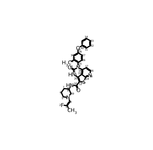 CC(F)=CN1CCC[C@@H](NC(=O)c2sc3nccc4c3c2NC(=O)N4c2ccc(Oc3ccccc3)cc2C)C1